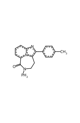 Cc1ccc(-c2nc3cccc4n3c2CCN(P)C4=O)cc1